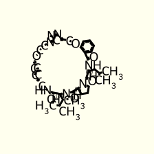 CC(C)C[C@H]1NC(=O)c2ccccc2OCc2cn(nn2)CCOc2ccc(cc2)CNC(=O)[C@H](CC(C)C)N(C)C(=O)[C@H]2CCCN2C1=O